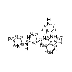 CC1(C)CNCC[C@@H]1Nc1nc(-c2ccnc(Nc3ccc(F)cn3)c2)nc2cncc(C3CCC3)c12